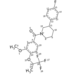 COc1cc(C(=O)N2CCCC(c3ccc(F)cc3)C2)ccc1OC(C)C(F)(F)F